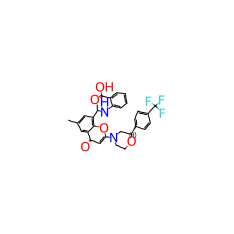 Cc1cc(C(C)Nc2ccccc2C(=O)O)c2oc(N3CCO[C@H](c4ccc(C(F)(F)F)cc4)C3)cc(=O)c2c1